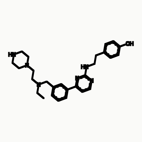 CCN(CCN1CCNCC1)Cc1cccc(-c2ccnc(NCCc3ccc(O)cc3)n2)c1